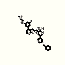 CN(C)CCNc1cc(F)cc(-c2ccnc3[nH]c(-c4n[nH]c5ncc(-c6cncc(OCc7ccccc7)c6)cc45)cc23)c1